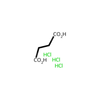 Cl.Cl.Cl.O=C(O)CCC(=O)O